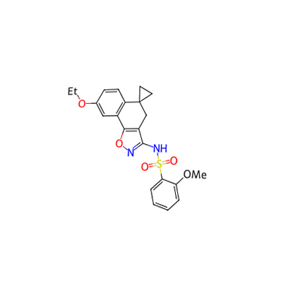 CCOc1ccc2c(c1)-c1onc(NS(=O)(=O)c3ccccc3OC)c1CC21CC1